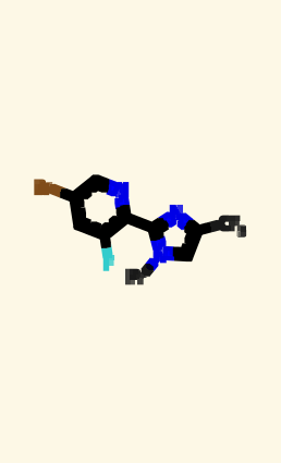 CC(C)n1cc(C(F)(F)F)nc1-c1ncc(Br)cc1F